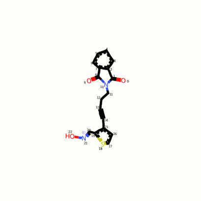 O=C1c2ccccc2C(=O)N1CCC#Cc1ccsc1/C=N/O